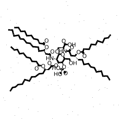 CCCCCCCCCCC[C@H](CC(=O)N[C@@H](CO[C@@H]1OC(CO)[C@@H](OP(=O)(O)O)C(OC(=O)C[C@@H](CCCCCCCCCCC)OC(=O)CCCCCCCCC)[C@@H]1NC(=O)C[C@@H](CCCCCCCCCCC)OC(=O)CCCCCCCCC)C(=O)O)OC(=O)CCCCCCCCC